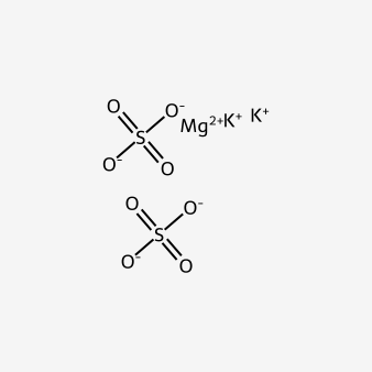 O=S(=O)([O-])[O-].O=S(=O)([O-])[O-].[K+].[K+].[Mg+2]